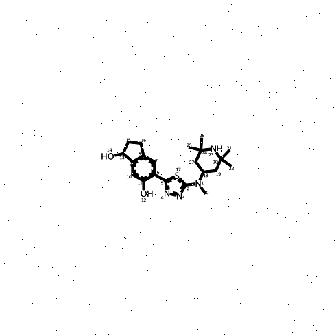 CN(c1nnc(-c2cc3c(cc2O)C(O)CC3)s1)C1CC(C)(C)NC(C)(C)C1